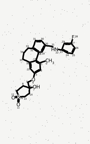 Cc1cc(OCC2(O)CCS(=O)(=O)CC2)cc2c1-c1cc(CNc3cccc(F)c3)ccc1CCC2